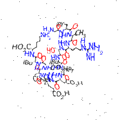 CC[C@H](C)[C@H](NC(=O)[C@H](CC(=O)O)NC(=O)[C@H](CCC(=O)O)NC(=O)[C@H](CC(=O)O)NC(=O)[C@@H](NC(=O)[C@H](CC(=O)O)NC(=O)[C@H](CO)NC(=O)[C@H](CCCNC(=N)N)NC(=O)[C@H](C)NC(=O)[C@H](CC(C)C)NC(=O)CN)C(C)C)C(=O)N[C@H](C(=O)N[C@@H](CCCCN)C(=O)O)[C@@H](C)CC